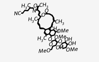 COCC1OC(OC2CC(OC)CC3C2C(C)=CC2/C=C/C=C/C(C)C(/C=C/c4nc(C(C)CCCC#N)oc4C)OC(=O)CC/C=C(C)\C=C\C23C)C(OC)C(OC2OCC(OC)C(O)C2O)C1O